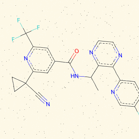 CC(NC(=O)c1cc(C(F)(F)F)nc(C2(C#N)CC2)c1)c1nccnc1-c1ccc(F)cn1